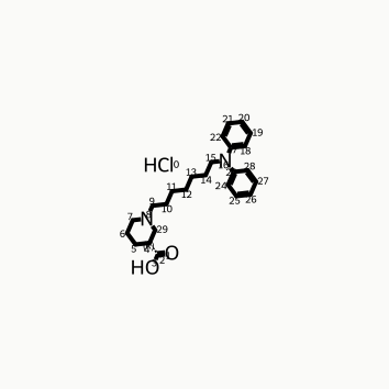 Cl.O=C(O)[C@@H]1CCCN(CCCCCCCN(c2ccccc2)c2ccccc2)C1